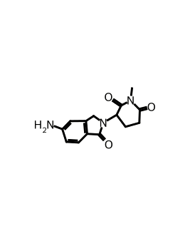 CN1C(=O)CCC(N2Cc3cc(N)ccc3C2=O)C1=O